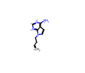 C=CCCn1ccc2c(N)ncnc21